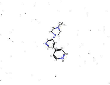 CN1CCN(c2cncc(-c3ccncc3)c2)CC1